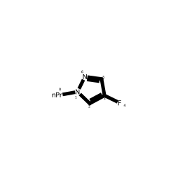 CCCn1cc(F)[c]n1